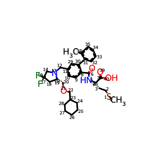 CSCC[C@H](NC(=O)c1ccc(CN2CC(F)(F)C[C@H]2COCC2CCCCC2)cc1-c1ccccc1C)C(=O)O